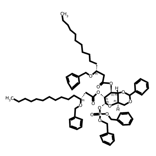 CCCCCCCCCCC[C@H](CC(=O)O[C@@H]1[C@@H](OC(=O)C[C@@H](CCCCCCCCCCC)OCc2ccccc2)[C@@H](OP(=O)(OCc2ccccc2)OCc2ccccc2)O[C@@H]2COC(c3ccccc3)O[C@@H]12)OCc1ccccc1